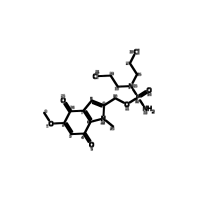 COC1=CC(=O)c2c(cc(COP(N)(=O)N(CCCl)CCCl)n2C)C1=O